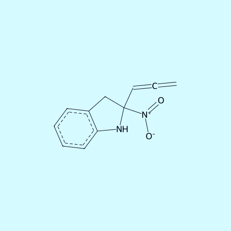 C=C=CC1([N+](=O)[O-])Cc2ccccc2N1